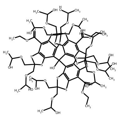 CCOC(=O)c1c2c(c(C(O)(c3c4c(c(C(=O)OCC)c5c3SC(COC(C)O)(COC(C)O)S5)SC(COC(C)O)(COC(C)O)S4)c3c4c(c(C(=O)OCC)c5c3SC(COC(C)O)(COC(C)O)S5)SC(COC(C)O)(COC(C)O)S4)c3c1SC(COC(C)O)(COC(C)O)S3)SC(COC(C)O)(COC(C)O)S2